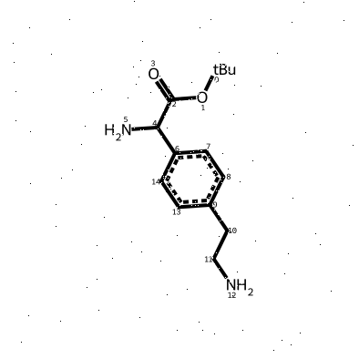 CC(C)(C)OC(=O)C(N)c1ccc(CCN)cc1